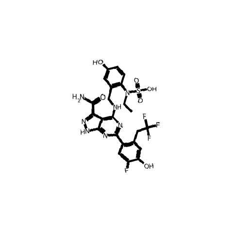 CCN(c1ccc(O)cc1CNc1nc(-c2cc(F)c(O)cc2CC(F)(F)F)nc2[nH]nc(C(N)=O)c12)S(=O)(=O)O